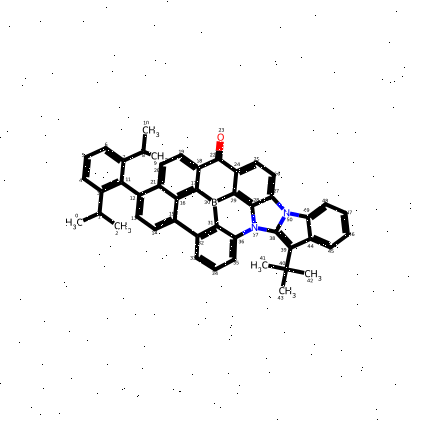 CC(C)c1cccc(C(C)C)c1-c1ccc2c3c4c(ccc13)C(=O)c1ccc3c5c1B4c1c-2cccc1-n5c1c(C(C)(C)C)c2ccccc2n31